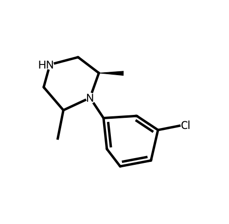 CC1CNC[C@@H](C)N1c1cccc(Cl)c1